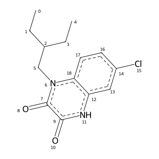 CCC(CC)Cn1c(=O)c(=O)[nH]c2cc(Cl)ccc21